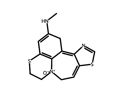 CNC1=CC2=C3C(=c4ncsc4=CC[N+]3([O-])CCS2)C1